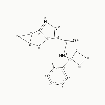 O=C(NC1(c2ccccn2)CCC1)C1=NN=C2C1CC1CC21